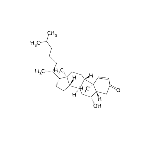 CC(C)CCC[C@@H](C)[C@H]1CC[C@H]2[C@@H]3C[C@@H](O)[C@H]4CC(=O)C=C[C@]4(C)[C@H]3CC[C@]12C